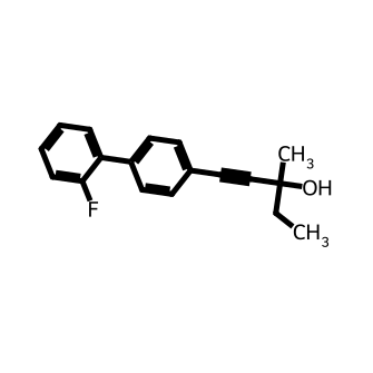 CCC(C)(O)C#Cc1ccc(-c2ccccc2F)cc1